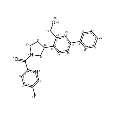 O=C(c1ccc(F)cn1)N1CCC(c2ccc(-c3ccccc3)nc2CO)C1